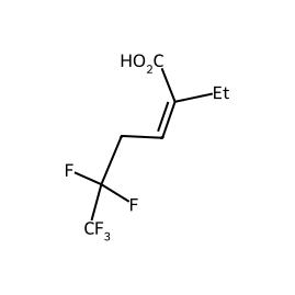 CCC(=CCC(F)(F)C(F)(F)F)C(=O)O